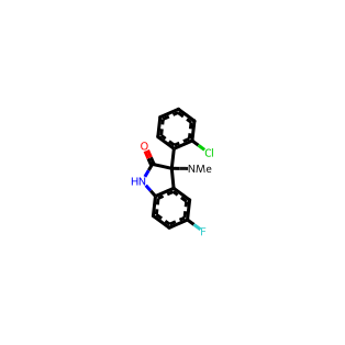 CNC1(c2ccccc2Cl)C(=O)Nc2ccc(F)cc21